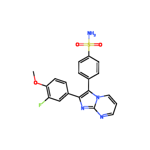 COc1ccc(-c2nc3ncccn3c2-c2ccc(S(N)(=O)=O)cc2)cc1F